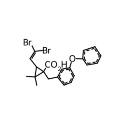 CC1(C)C(C=C(Br)Br)C1(Cc1cccc(Oc2ccccc2)c1)C(=O)O